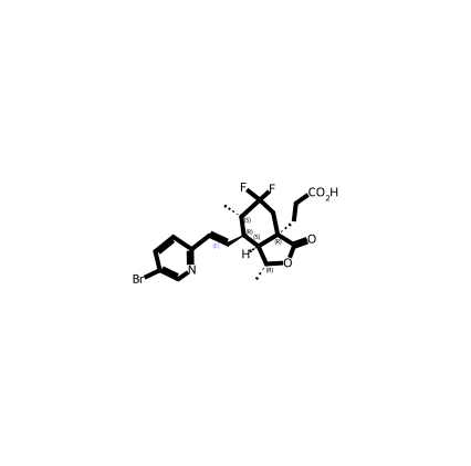 C[C@H]1OC(=O)[C@]2(CCC(=O)O)CC(F)(F)[C@@H](C)[C@H](/C=C/c3ccc(Br)cn3)[C@H]12